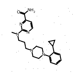 CN(CCCN1CCN(c2ccccc2C2CC2)CC1)c1nccc(C(N)=O)n1